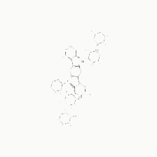 c1ccc(-c2cccc(-c3ccccc3-n3c4ccccc4c4cc5c(cc43)c3ccccc3n5-c3cccc(-c4ccccc4)c3)c2)cc1